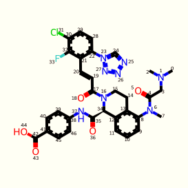 CN(C)CC(=O)N(C)c1cccc2c1CCN(C(=O)/C=C/c1c(-n3cnnn3)ccc(Cl)c1F)[C@@H]2C(=O)Nc1ccc(C(=O)O)cc1